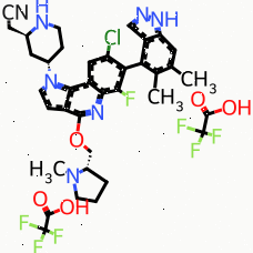 Cc1cc2[nH]ncc2c(-c2c(Cl)cc3c(nc(OC[C@@H]4CCCN4C)c4ccn([C@H]5CCN[C@H](CC#N)C5)c43)c2F)c1C.O=C(O)C(F)(F)F.O=C(O)C(F)(F)F